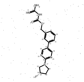 N=C(N)NC(=O)OCc1cccc(-c2cnc(N3CC[C@H](F)C3)nc2)c1